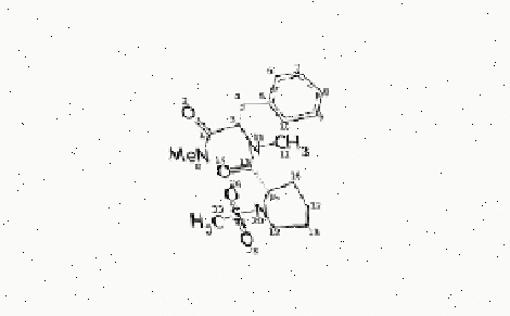 CNC(=O)[C@H](Cc1ccccc1)N(C)C(=O)[C@@H]1CCCCN1S(C)(=O)=O